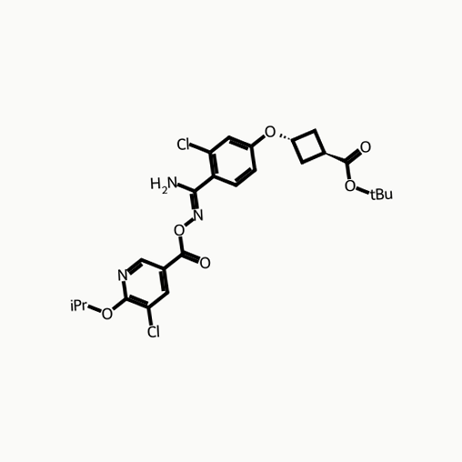 CC(C)Oc1ncc(C(=O)O/N=C(\N)c2ccc(O[C@H]3C[C@H](C(=O)OC(C)(C)C)C3)cc2Cl)cc1Cl